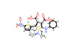 C=N[SH]1(CC)(CC)C(Nc2ccccc2)=C(C(=O)O)C(C(=O)O)=C1c1ccc([N+](=O)[O-])s1